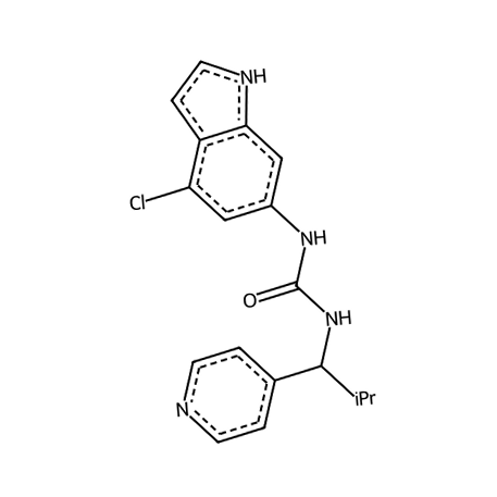 CC(C)C(NC(=O)Nc1cc(Cl)c2cc[nH]c2c1)c1ccncc1